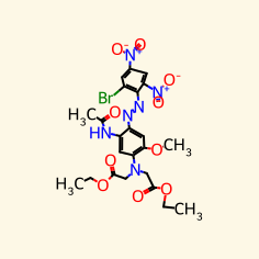 CCOC(=O)CN(CC(=O)OCC)c1cc(NC(C)=O)c(/N=N/c2c(Br)cc([N+](=O)[O-])cc2[N+](=O)[O-])cc1OC